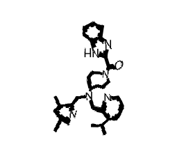 Cc1cnc(CN(Cc2ncccc2C(C)C)C2CCN(C(=O)c3nc4ccccc4[nH]3)CC2)c(C)c1